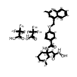 Cc1cc(COc2ccc(C(=O)NC3(CC(=O)NO)CCCN(C)C3)cc2)c2ccccc2n1.O=C(O)C(F)(F)F.O=C(O)C(F)(F)F